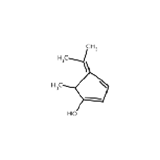 CC(C)=C1C=CC=C(O)C1C